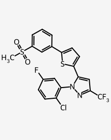 CS(=O)(=O)c1cccc(-c2ccc(-c3cc(C(F)(F)F)nn3-c3cc(F)ccc3Cl)s2)c1